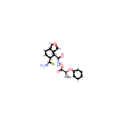 CC(C)(C)C(Oc1ccccc1)C(=O)ONC(=O)c1c(C(N)=S)ccc2cocc12